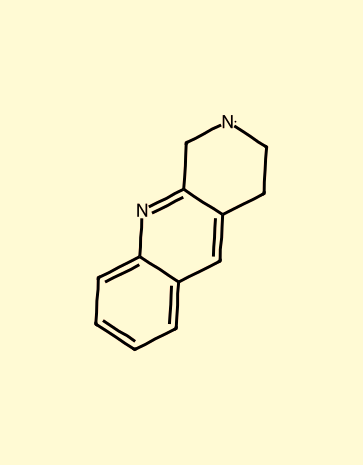 c1ccc2nc3c(cc2c1)CC[N]C3